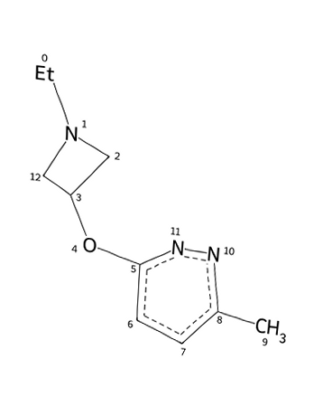 CCN1CC(Oc2ccc(C)nn2)C1